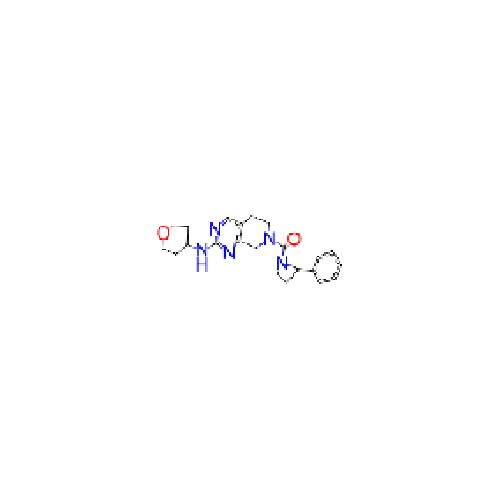 O=C(N1CCc2cnc(NC3CCOCC3)nc2C1)N1CCC1c1ccccc1